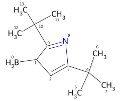 BC1C=C(C(C)(C)C)N=C1C(C)(C)C